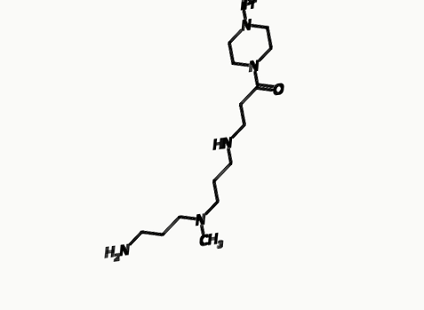 CC(C)N1CCN(C(=O)CCNCCCN(C)CCCN)CC1